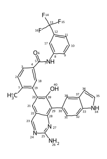 Cc1ccc(C(=O)Nc2cccc(C(F)(F)F)c2)cc1-c1cc2cnc(N)nc2c(-c2ccc3[nH]ccc3c2)c1O